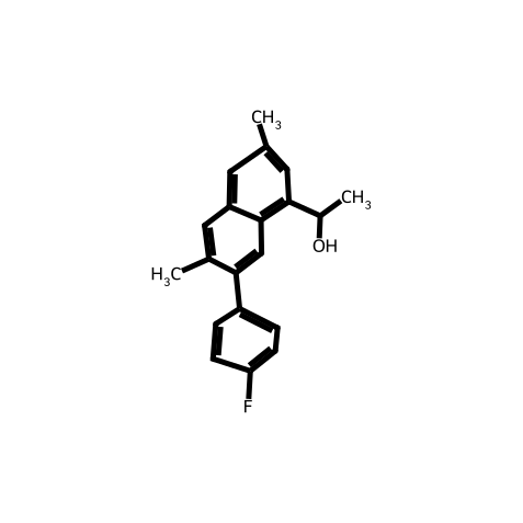 Cc1cc(C(C)O)c2cc(-c3ccc(F)cc3)c(C)cc2c1